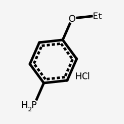 CCOc1ccc(P)cc1.Cl